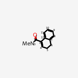 CNC(=O)C1=CCCc2ccccc21